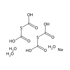 O.O.O.O=C(O)SC(=O)O.O=C(O)SC(=O)O.[Na]